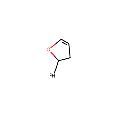 [2H]C1CC=CO1